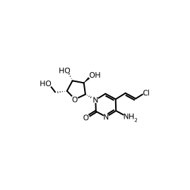 Nc1nc(=O)n([C@@H]2O[C@H](CO)[C@H](O)[C@H]2O)cc1C=CCl